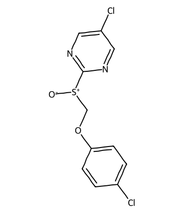 [O-][S+](COc1ccc(Cl)cc1)c1ncc(Cl)cn1